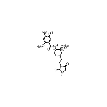 COc1cc(N)c(Cl)cc1C(=O)N[C@@H]1CCN(CCN2C(=O)CN(C)C2=O)C[C@@H]1OC.O